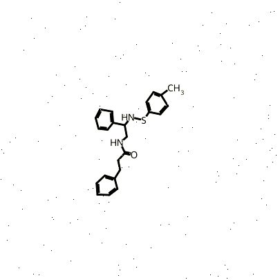 Cc1ccc(SNC(CNC(=O)CCc2ccccc2)c2ccccc2)cc1